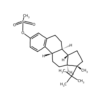 CC(C)(C)[C@@]1(C)CC[C@H]2[C@@H]3CCc4cc(OS(C)(=O)=O)ccc4[C@H]3CC[C@@]21C